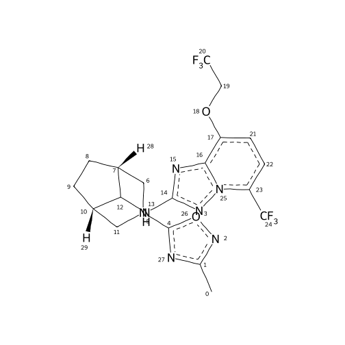 Cc1noc(N2C[C@H]3CC[C@@H](C2)C3Nc2nc3c(OCC(F)(F)F)ccc(C(F)(F)F)n3n2)n1